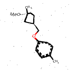 CO[C@]1(C)C[C@@H](COc2ccc(C)cc2)C1